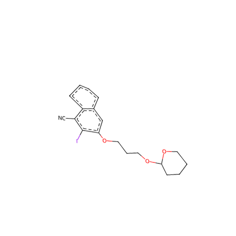 N#Cc1c(I)c(OCCCOC2CCCCO2)cc2ccccc12